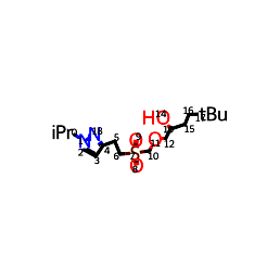 CC(C)n1ccc(CCS(=O)(=O)COCC(O)CCC(C)(C)C)n1